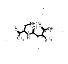 CC(=O)C(CN)NC(=O)CC(C)C(=O)O